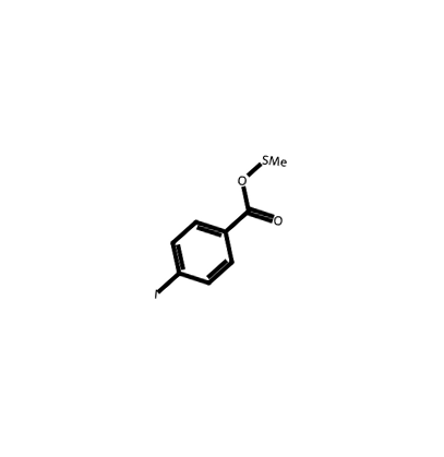 CSOC(=O)c1ccc(I)cc1